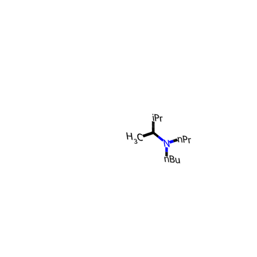 CCCCN(CCC)C(C)C(C)C